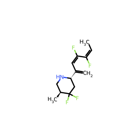 C=C(/C=C(F)\C(F)=C/C)[C@@H]1CC(F)(F)[C@@H](C)CN1